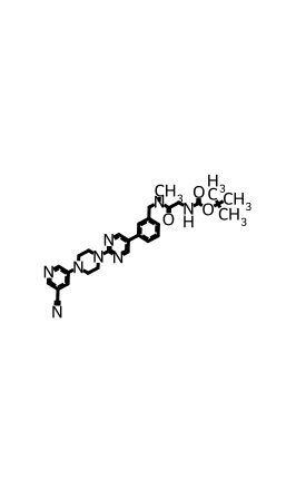 CN(Cc1cccc(-c2cnc(N3CCN(c4cncc(C#N)c4)CC3)nc2)c1)C(=O)CNC(=O)OC(C)(C)C